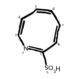 O=S(=O)(O)C1=NC=CC=CC=C1